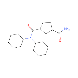 NC(=O)C1CCC(C(=O)N(C2CCCCC2)C2CCCCC2)C1